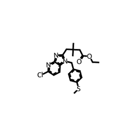 CCOC(=O)CC(C)(C)Cc1nc2nc(Cl)ccc2n1Cc1ccc(SC)cc1